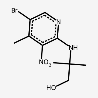 Cc1c(Br)cnc(NC(C)(C)CO)c1[N+](=O)[O-]